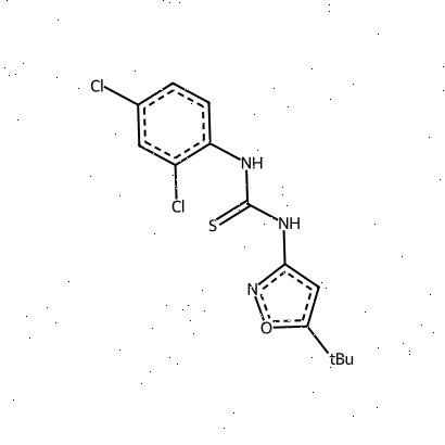 CC(C)(C)c1cc(NC(=S)Nc2ccc(Cl)cc2Cl)no1